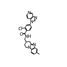 Cc1ccc2c(c1)nc1n2CCC(CNC(=O)c2ccc(-n3cnc4cnccc43)cc2Cl)C1